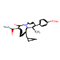 COC(=O)c1cc(C2CC2)c2c(C)c(-c3ccc(O)cc3)ccn2c1=O